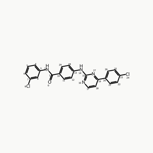 O=C(Nc1cccc(Cl)c1)c1ccc(Nc2nccc(-c3ccc(Cl)cc3)n2)cc1